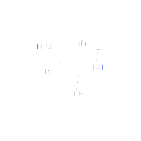 CCNC(C)C([SiH3])(C(C)C)C(C)C